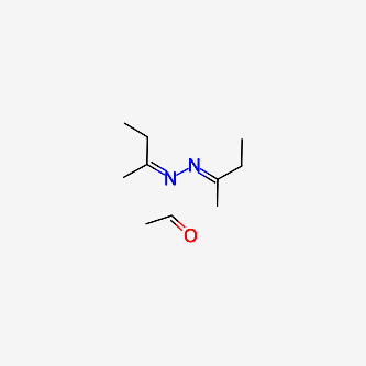 CC=O.CCC(C)=NN=C(C)CC